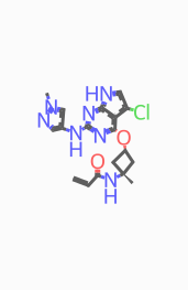 C=CC(=O)N[C@]1(C)C[C@@H](Oc2nc(Nc3cnn(C)c3)nc3[nH]cc(Cl)c23)C1